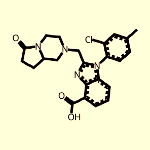 Cc1ccc(-n2c(CN3CCN4C(=O)CCC4C3)nc3c(C(=O)O)cccc32)c(Cl)c1